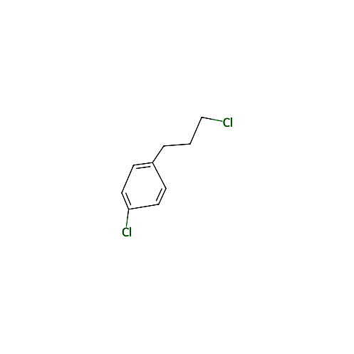 ClCCCc1ccc(Cl)cc1